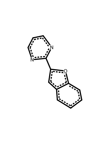 c1cnc(-c2cc3ccccc3o2)nc1